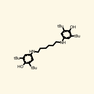 CC(C)(C)c1cc(NCCCCCCNc2cc(C(C)(C)C)c(O)c(C(C)(C)C)c2)cc(C(C)(C)C)c1O